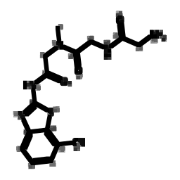 CN(CC(=O)Nc1nc2cccc(C#N)c2s1)C(=O)CNC(=O)CN